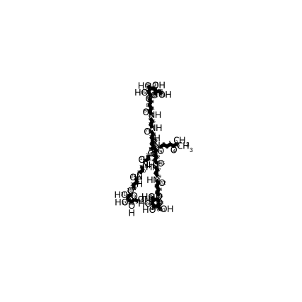 CC(C)C(=O)CCCC(=O)NC(COCCC(=O)NCCCNC(=O)CCCOC1=C(O)C(O)[C@H](O)C(CO)O1)(COCCC(=O)NCCCNC(=O)CCCO[C@@H]1OC(CO)[C@@H](O)C(O)C1O)COCCC(=O)NCCCNC(=O)CCCO[C@@H]1OC(CO)[C@@H](O)C(O)C1O